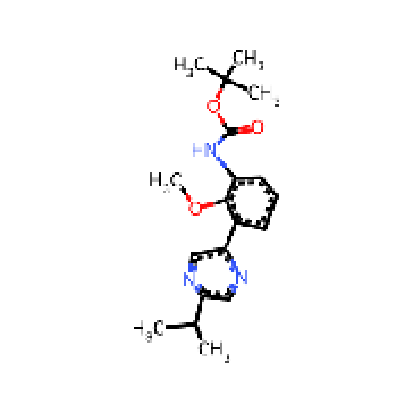 COc1c(NC(=O)OC(C)(C)C)cccc1-c1cnc(C(C)C)cn1